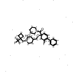 O=C(N1CCC[C@@H](O)C1)C1(OCC2CCN(CC3(C(F)(F)F)CCC3)CC2)C=CC(c2ccccc2)=C(F)C1